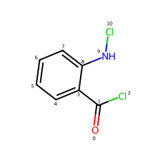 O=C(Cl)c1ccccc1NCl